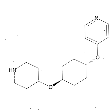 c1cc(O[C@H]2CC[C@H](OC3CCNCC3)CC2)ccn1